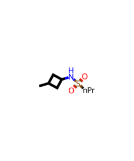 CCCS(=O)(=O)NC1CC(C)C1